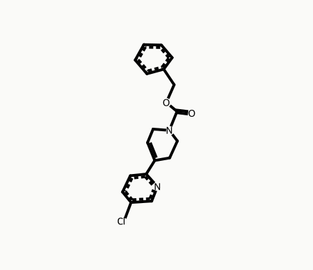 O=C(OCc1ccccc1)N1CC=C(c2ccc(Cl)cn2)CC1